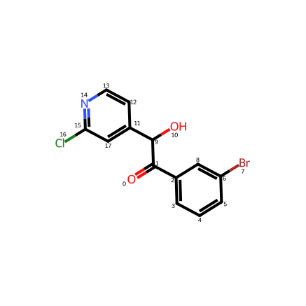 O=C(c1cccc(Br)c1)C(O)c1ccnc(Cl)c1